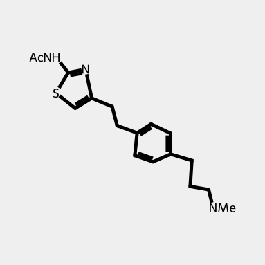 CNCCCc1ccc(CCc2csc(NC(C)=O)n2)cc1